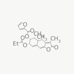 CCC(=O)O[C@H]1C=C2C=C3OC(=O)C(C)=C3C[C@]2(C)[C@@H](C)[C@H]1OC(=O)c1ccco1